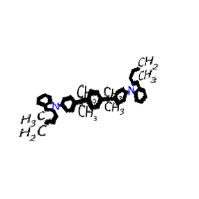 C=C/C=C\c1c(C)c2ccccc2n1-c1ccc(C(C)(C)c2ccc(C(C)(C)c3ccc(-n4c(/C=C\C=C)c(C)c5ccccc54)cc3)cc2)cc1